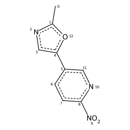 Cc1ncc(-c2ccc([N+](=O)[O-])nc2)o1